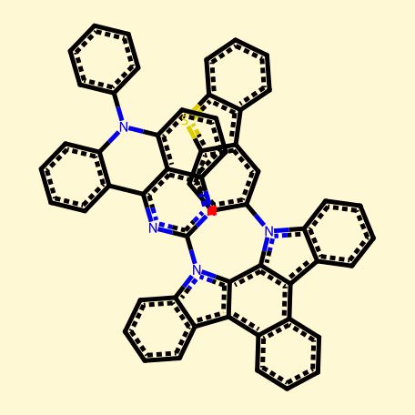 c1ccc(N2c3ccccc3-c3nc(-n4c5ccccc5c5c6ccccc6c6c7ccccc7n(-c7ccc8sc9ccccc9c8c7)c6c54)nc4cccc2c34)cc1